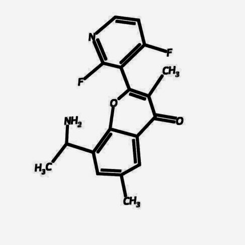 Cc1cc(C(C)N)c2oc(-c3c(F)ccnc3F)c(C)c(=O)c2c1